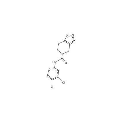 O=C(Nc1ccc(Cl)c(Cl)c1)N1CCc2nocc2C1